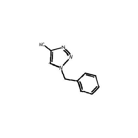 N#Cc1[c]n(Cc2ccccc2)nn1